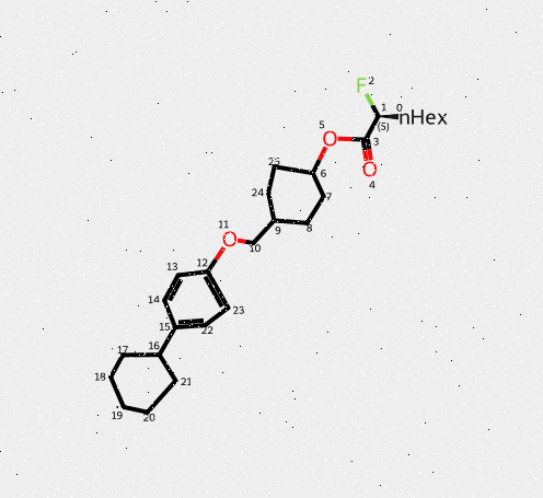 CCCCCC[C@H](F)C(=O)OC1CCC(COc2ccc(C3CC[CH]CC3)cc2)CC1